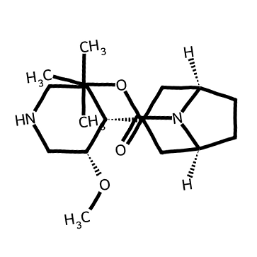 CO[C@@H]1CNCC[C@@H]1C1C[C@H]2CC[C@@H](C1)N2C(=O)OC(C)(C)C